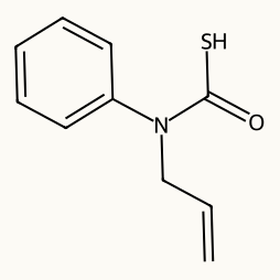 C=CCN(C(=O)S)c1ccccc1